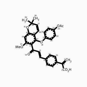 C=C(C(=O)O)c1ccc(/C=C/C(=O)c2c(OC)cc3c(c2Oc2ccc(OC(C)=O)cc2)C=CC(C)(C)O3)cc1